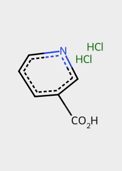 Cl.Cl.O=C(O)c1cccnc1